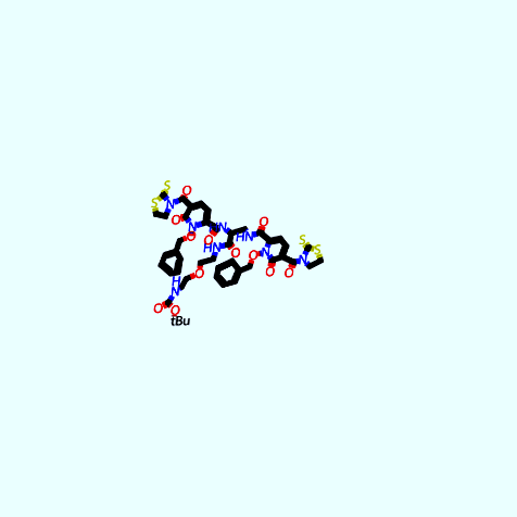 CC(C)(C)OC(=O)NCCOCCNC(=O)C(CNC(=O)c1ccc(C(=O)N2CCSC2=S)c(=O)n1OCc1ccccc1)NC(=O)c1ccc(C(=O)N2CCSC2=S)c(=O)n1OCc1ccccc1